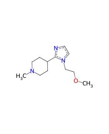 COCCn1ccnc1C1CCN(C)CC1